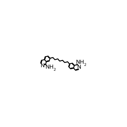 Nc1nccc2ccc(CCCCCCCc3ccc4ccnc(N)c4c3)cc12